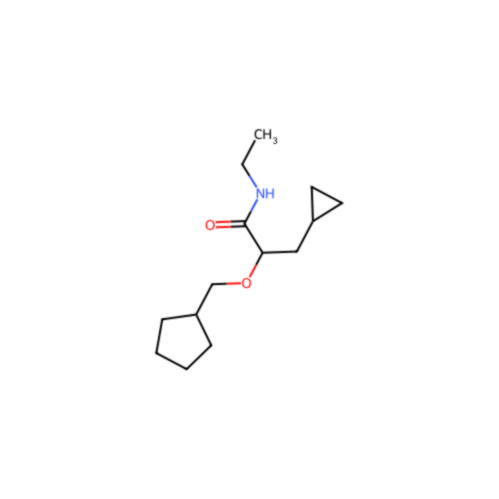 CCNC(=O)C(CC1CC1)OCC1CCCC1